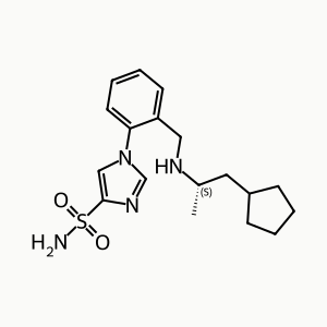 C[C@@H](CC1CCCC1)NCc1ccccc1-n1cnc(S(N)(=O)=O)c1